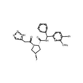 COc1nc(C(NC(=O)[C@@H]2C[C@@H](F)CN2C(=O)Cc2cnn[nH]2)c2ccccc2)ccc1C(C)C